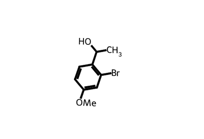 COc1ccc(C(C)O)c(Br)c1